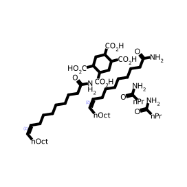 CCCC(N)=O.CCCC(N)=O.CCCCCCCC/C=C\CCCCCCCC(N)=O.CCCCCCCC/C=C\CCCCCCCC(N)=O.O=C(O)C1CC(C(=O)O)C(C(=O)O)CC1C(=O)O